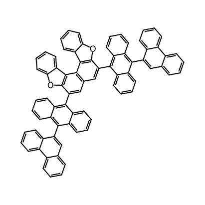 c1ccc2c(c1)cc(-c1c3ccccc3c(-c3cc4cc(-c5c6ccccc6c(-c6cc7ccccc7c7ccccc67)c6ccccc56)c5oc6ccccc6c5c4c4c3oc3ccccc34)c3ccccc13)c1ccccc12